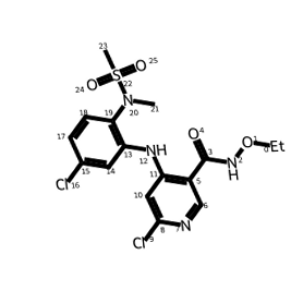 CCONC(=O)c1cnc(Cl)cc1Nc1cc(Cl)ccc1N(C)S(C)(=O)=O